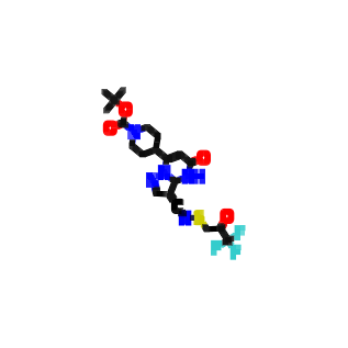 CC(C)(C)OC(=O)N1CCC(C2=CC(=O)NC3C(=C=NSCC(=O)C(F)(F)F)C=NN23)CC1